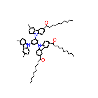 CCCCCCCCCC(=O)c1ccc2c(c1)c1cc(C)ccc1n2-c1cc(-n2c3ccc(C)cc3c3cc(C)ccc32)cc(-n2c3ccc(C(=O)CCCCCCCCC)cc3c3cc(C(=O)CCCCCCCCC)ccc32)c1